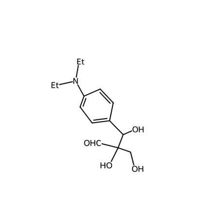 CCN(CC)c1ccc(C(O)C(O)(C=O)CO)cc1